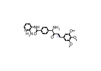 COc1cc(/C=C/C(=O)C(N)c2ccc(C(=O)Nc3cccnc3N)cc2)cc(OC)c1OC